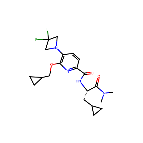 CN(C)C(=O)[C@H](CC1CC1)NC(=O)c1ccc(N2CC(F)(F)C2)c(OCC2CC2)n1